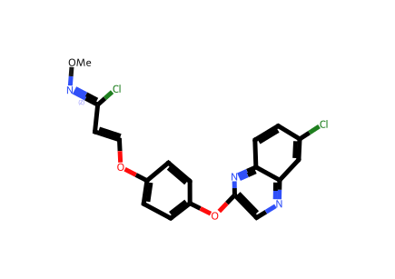 CO/N=C(\Cl)C=COc1ccc(Oc2cnc3cc(Cl)ccc3n2)cc1